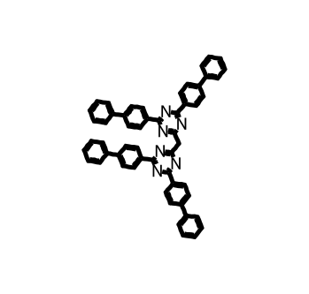 c1ccc(-c2ccc(-c3nc(Cc4nc(-c5ccc(-c6ccccc6)cc5)nc(-c5ccc(-c6ccccc6)cc5)n4)nc(-c4ccc(-c5ccccc5)cc4)n3)cc2)cc1